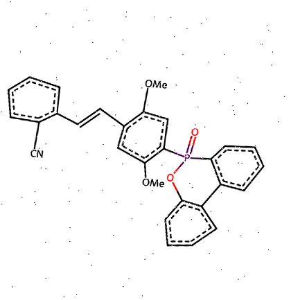 COc1cc(P2(=O)Oc3ccccc3-c3ccccc32)c(OC)cc1C=Cc1ccccc1C#N